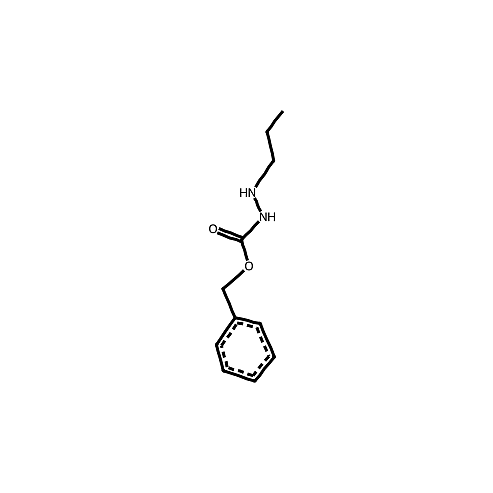 CCCNNC(=O)OCc1ccccc1